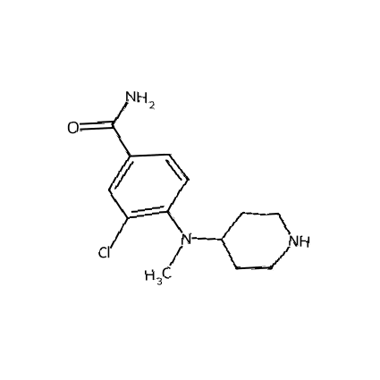 CN(c1ccc(C(N)=O)cc1Cl)C1CCNCC1